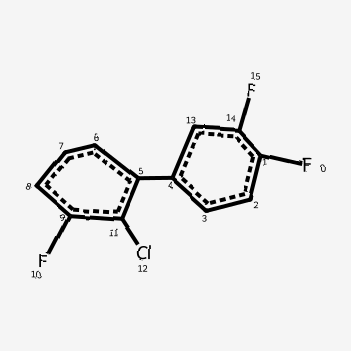 Fc1ccc(-c2[c]ccc(F)c2Cl)cc1F